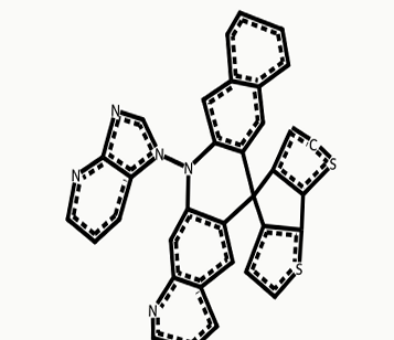 c1ccc2cc3c(cc2c1)N(n1cnc2ncccc21)c1cc2ncccc2cc1C31c2ccsc2-c2sccc21